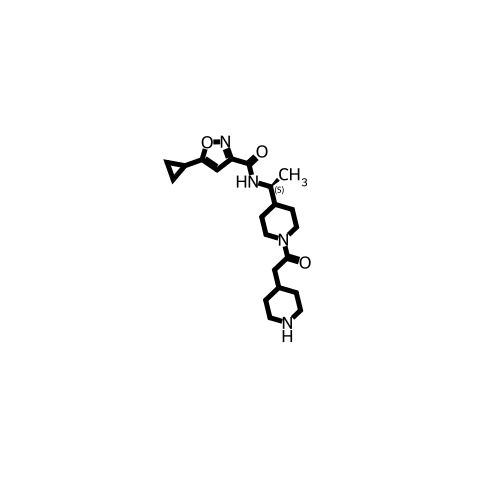 C[C@H](NC(=O)c1cc(C2CC2)on1)C1CCN(C(=O)CC2CCNCC2)CC1